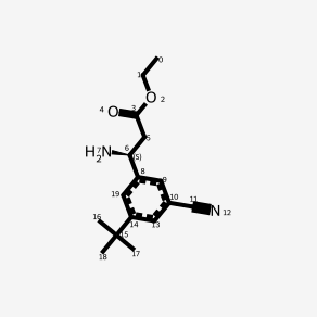 CCOC(=O)C[C@H](N)c1cc(C#N)cc(C(C)(C)C)c1